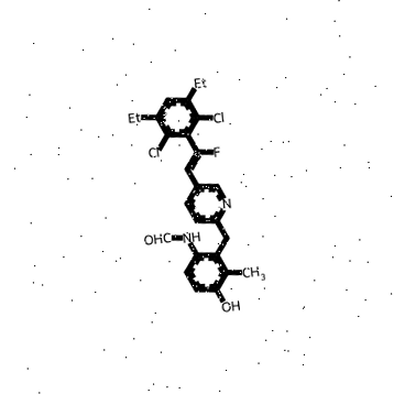 CCc1cc(CC)c(Cl)c(/C(F)=C/c2ccc(Cc3c(NC=O)ccc(O)c3C)nc2)c1Cl